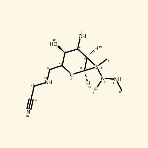 CNN(F)S1(C)[C@@H]2C(O)[C@H](O)C(CNCC#N)O[C@@H]21